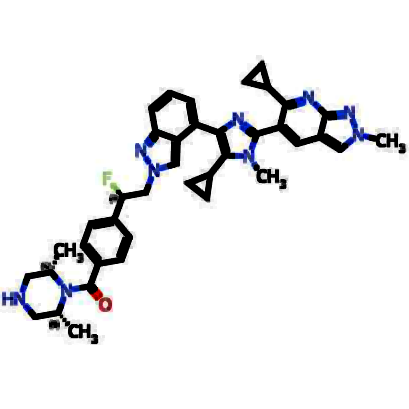 C[C@@H]1CNC[C@H](C)N1C(=O)c1ccc([C@@H](F)Cn2cc3c(-c4nc(-c5cc6cn(C)nc6nc5C5CC5)n(C)c4C4CC4)cccc3n2)cc1